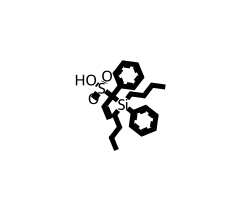 C=CC(c1ccccc1)([Si](CCCC)(CCCC)c1ccccc1)S(=O)(=O)O